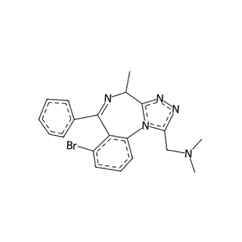 CC1N=C(c2ccccc2)c2c(Br)cccc2-n2c(CN(C)C)nnc21